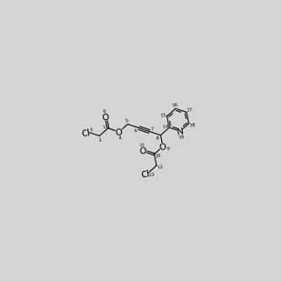 O=C(CCl)OCC#CC(OC(=O)CCl)c1ccccn1